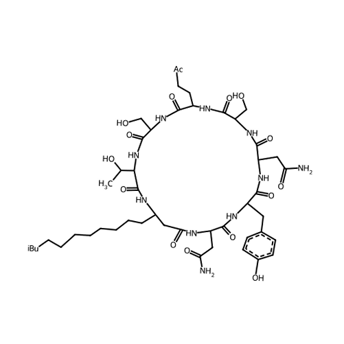 CCC(C)CCCCCCCCC1CC(=O)NC(CC(N)=O)C(=O)NC(Cc2ccc(O)cc2)C(=O)NC(CC(N)=O)C(=O)NC(CO)C(=O)NC(CCC(C)=O)C(=O)NC(CO)C(=O)NC(C(C)O)C(=O)N1